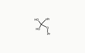 CCCC(O)(O)OC(C)C